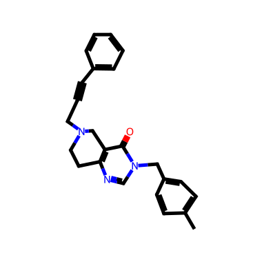 Cc1ccc(Cn2cnc3c(c2=O)CN(CC#Cc2ccccc2)CC3)cc1